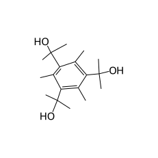 Cc1c(C(C)(C)O)c(C)c(C(C)(C)O)c(C)c1C(C)(C)O